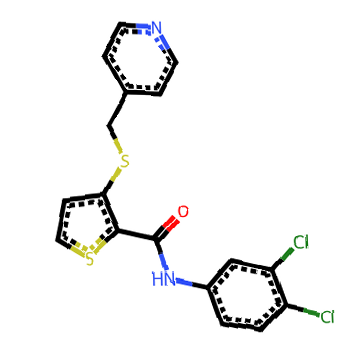 O=C(Nc1ccc(Cl)c(Cl)c1)c1sccc1SCc1ccncc1